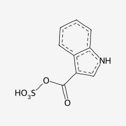 O=C(OS(=O)(=O)O)c1c[nH]c2ccccc12